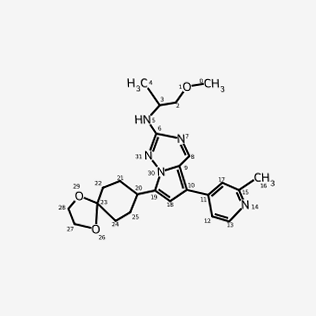 COCC(C)Nc1ncc2c(-c3ccnc(C)c3)cc(C3CCC4(CC3)OCCO4)n2n1